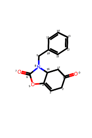 O=C1CC=C2OC(=O)N(Cc3ccccc3)C2C1